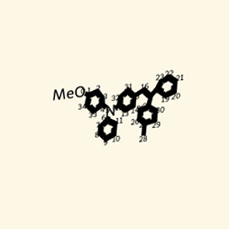 COc1ccc(N(c2ccccc2)c2ccc(/C=C(/c3ccccc3)c3ccc(C)cc3)cc2)cc1